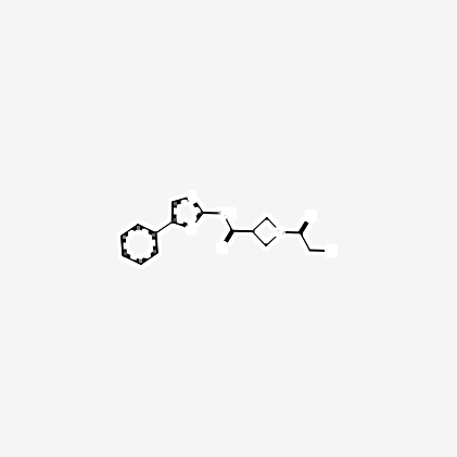 O=C(Nc1nc(-c2ccccc2)cs1)C1CN(C(=O)CCl)C1